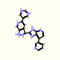 c1cncc(-c2ccnc3[nH]c(-c4n[nH]c5cnc(-c6cncnc6)cc45)nc23)c1